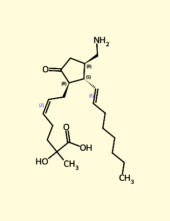 CCCCCC/C=C/[C@H]1[C@H](CN)CC(=O)[C@@H]1C/C=C\CCC(C)(O)C(=O)O